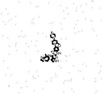 COc1cc2c(cc1Nc1nc(Nc3ccn4ccnc4c3C)c3cc[nH]c3n1)OCC1CC(N3CCN(C)CC3)CCN21